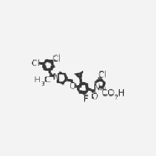 CC(c1cc(Cl)cc(Cl)c1)N1CCC(COc2cc(F)c(C(=O)N3C[C@H](Cl)C[C@H]3C(=O)O)cc2C2CC2)CC1